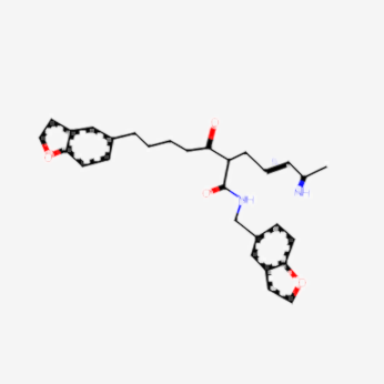 CC(=N)/C=C/CC(C(=O)CCCCc1ccc2occc2c1)C(=O)NCc1ccc2occc2c1